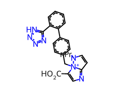 CCCN1C=CC2=NC=C(C(=O)O)[N+]21Cc1ccc(-c2ccccc2-c2nnn[nH]2)cc1